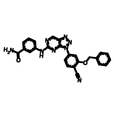 N#Cc1ccc(-n2nnc3cnc(Nc4cccc(C(N)=O)c4)nc32)cc1OCc1ccccc1